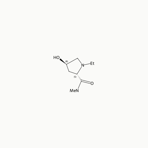 CCN1C[C@H](O)C[C@H]1C(=O)NC